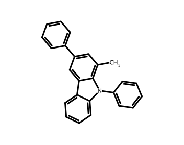 Cc1cc(-c2ccccc2)cc2c3ccccc3n(-c3ccccc3)c12